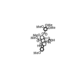 COC(=O)[C@H]1[C@H]2C[C@@H]3c4[nH]c5cc(OC)ccc5c4CCN3C[C@H]2C[C@@H](OC(=O)c2cc(OC)c(OC)c(OC)c2)[C@@H]1OC.O=[PH](O)O